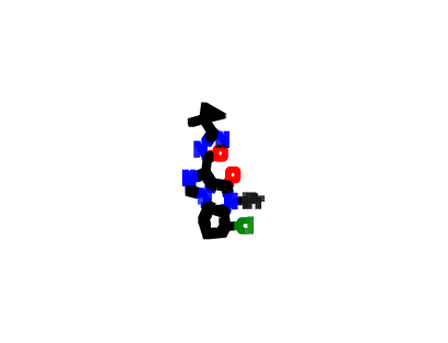 CC(C)n1c(=O)c2c(-c3nc(C4(C)CC4)no3)ncn2c2cccc(Cl)c21